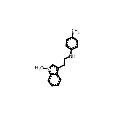 Cc1ccc(NCCc2cn(C)c3ccccc23)cc1